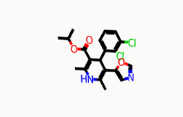 CC1=C(C(=O)OC(C)C)C(c2cccc(Cl)c2Cl)C(c2cnco2)=C(C)N1